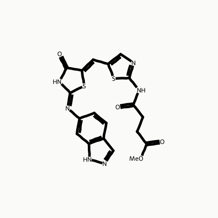 COC(=O)CCC(=O)Nc1ncc(C=C2SC(=Nc3ccc4cn[nH]c4c3)NC2=O)s1